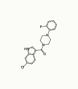 O=C(c1c[nH]c2cc(Cl)ccc12)N1CCN(c2ccccc2F)CC1